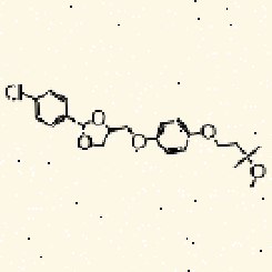 COC(C)(C)CCOc1ccc(OCC2COC(c3ccc(Cl)cc3)O2)cc1